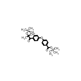 CC(C)(O[Si](C)(C)C)C(=O)c1ccc(Oc2ccc(C(=O)O[Si](C)(C)C)cc2)cc1